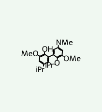 CNc1cc(OC)c(OC(C)C)c(-c2cc(C(C)C)cc(OC)c2O)c1